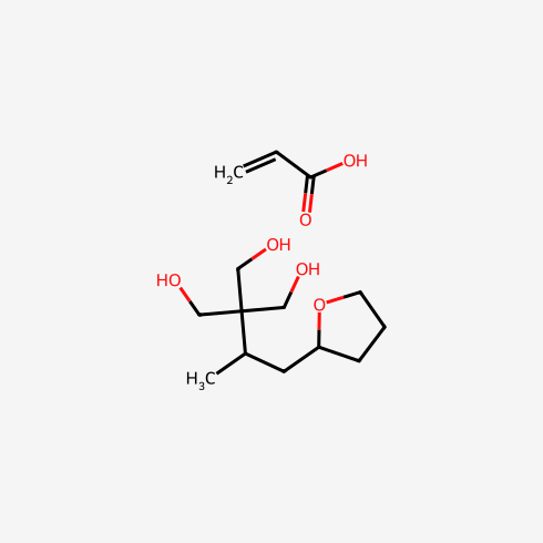 C=CC(=O)O.CC(CC1CCCO1)C(CO)(CO)CO